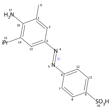 Cc1cc(/N=N/c2ccc(S(=O)(=O)O)cc2)cc(C(C)C)c1N